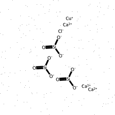 O=[Si]([O-])[O-].O=[Si]([O-])[O-].O=[Si]([O-])[O-].[Ca+2].[Ca+2].[Ca+2].[Cl-].[Cu+]